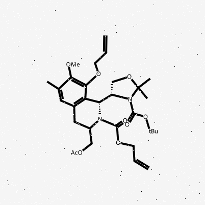 C=CCOC(=O)N1C(COC(C)=O)Cc2cc(C)c(OC)c(OCC=C)c2[C@@H]1[C@@H]1COC(C)(C)N1C(=O)OC(C)(C)C